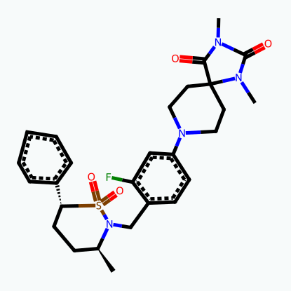 C[C@H]1CC[C@H](c2ccccc2)S(=O)(=O)N1Cc1ccc(N2CCC3(CC2)C(=O)N(C)C(=O)N3C)cc1F